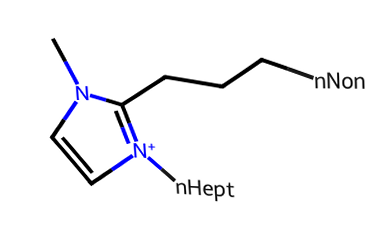 CCCCCCCCCCCCc1n(C)cc[n+]1CCCCCCC